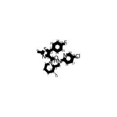 Cc1nc(C(=O)N2CCC[C@@H](C)C2CNc2ccc(Cl)cn2)c(-c2ccc(F)cc2)s1